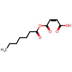 CCCCCCC(=O)OC(=O)/C=C\C(=O)O